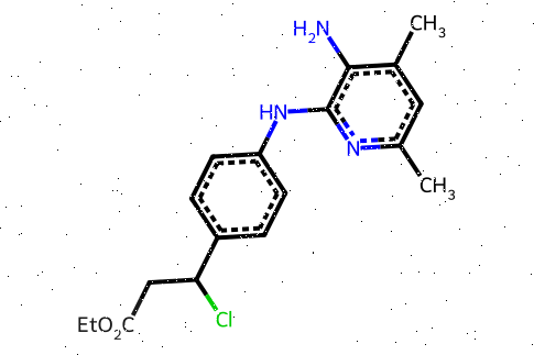 CCOC(=O)CC(Cl)c1ccc(Nc2nc(C)cc(C)c2N)cc1